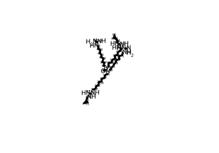 N=C(N)NCCCCCCCCCCN(CCCCCCCCCCNC(=N)NCC1CC1)C(=O)N(CCCCCCCCCCNC(=N)N)CCCCCCCCCCNC(=N)NCC1CC1